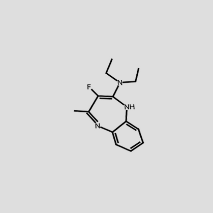 CCN(CC)C1=C(F)C(C)=Nc2ccccc2N1